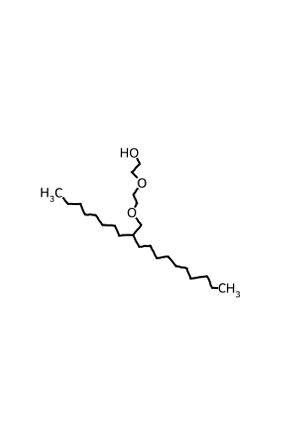 CCCCCCCCCCC(CCCCCCCC)COCCOCCO